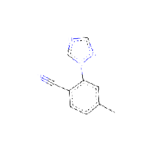 Cc1ccc(C#N)c(-n2cncn2)c1